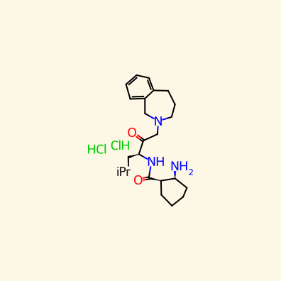 CC(C)C[C@H](NC(=O)[C@@H]1CCCC[C@@H]1N)C(=O)CN1CCCc2ccccc2C1.Cl.Cl